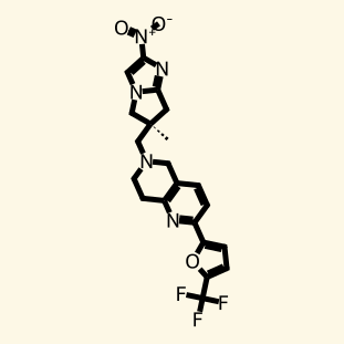 C[C@@]1(CN2CCc3nc(-c4ccc(C(F)(F)F)o4)ccc3C2)Cc2nc([N+](=O)[O-])cn2C1